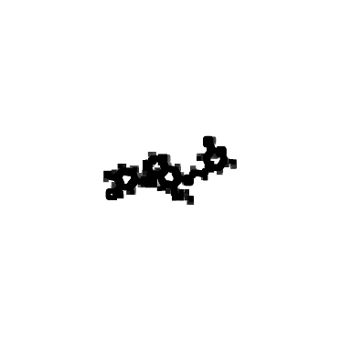 C[C@@H]1CN(CCOc2cc3ncnc(Nc4ccc(F)c(Cl)c4)c3cc2N)CC(=O)O1